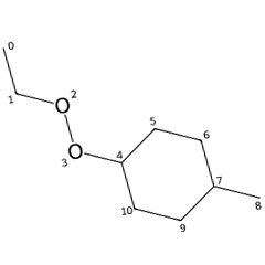 CCOOC1CCC(C)CC1